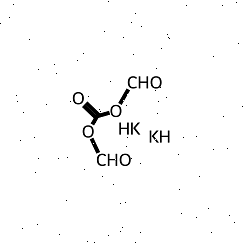 O=COC(=O)OC=O.[KH].[KH]